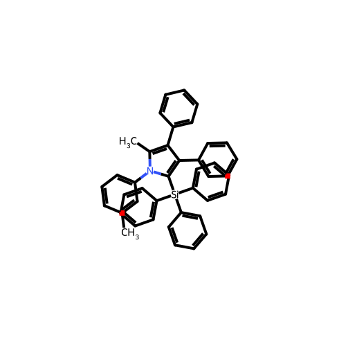 Cc1cccc(-n2c(C)c(-c3ccccc3)c(-c3ccccc3)c2[Si](c2ccccc2)(c2ccccc2)c2ccccc2)c1